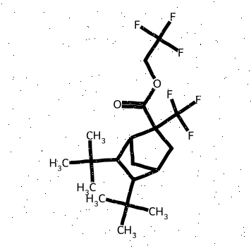 CC(C)(C)C1C2CC(C1C(C)(C)C)C(C(=O)OCC(F)(F)F)(C(F)(F)F)C2